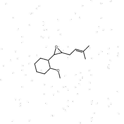 COC1CCCCC1C1OC1CC=C(C)C